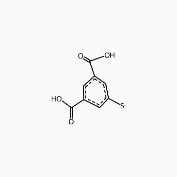 O=C(O)c1cc([S])cc(C(=O)O)c1